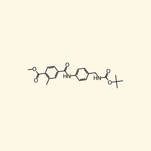 COC(=O)c1ccc(C(=O)Nc2ccc(CNC(=O)OC(C)(C)C)cc2)cc1C